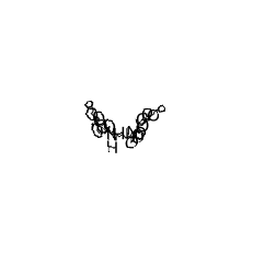 COC(=O)C(CCCCNC(=O)COC(CC(=O)OCc1ccccc1)OC)NC(=O)COC(CC(=O)OCc1ccccc1)OC